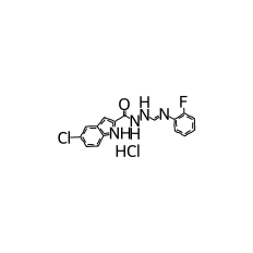 Cl.O=C(NNC=Nc1ccccc1F)c1cc2cc(Cl)ccc2[nH]1